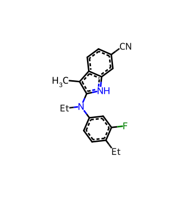 CCc1ccc(N(CC)c2[nH]c3cc(C#N)ccc3c2C)cc1F